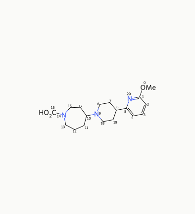 COc1cccc(C2CCN(C3CCCN(C(=O)O)CC3)CC2)n1